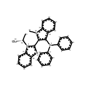 C[C@H](n1c(-c2c(P(c3ccccc3)c3ccccc3)c3ccccc3n2C)nc2ccccc21)C(C)(C)C